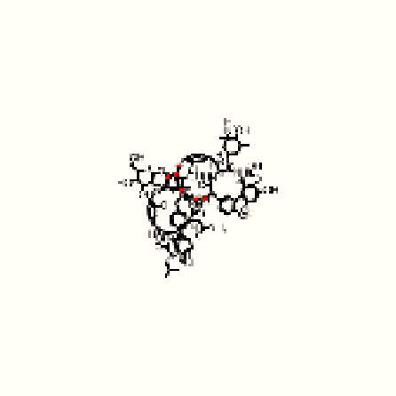 CN[C@H](CC(C)C)C(=O)N[C@H]1C(=O)C[C@@H](CC(N)=O)C(=O)N[C@H]2C(=O)C[C@H]3C(=O)N[C@H](C(=O)N[C@H](C(=O)O)c4cc(O)cc(O)c4-c4cc3ccc4O)[C@H](OC3CC(C)C(O)C(C)(N)C3)c3ccc(c(Cl)c3)Oc3cc2cc(c3OC2OC(CO)C(O)C(O)C2OC2CC(C)(NCc3ccc(-c4ccc(Cl)cc4)cc3)C(O)C(C)O2)Oc2ccc(cc2Cl)[C@H]1O